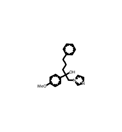 COc1ccc(C(O)(CCCc2ccccc2)Cn2ccnc2)cc1